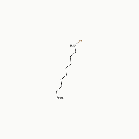 CCCCCCCCCCCCC[CH2][SbH][Br]